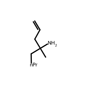 C=CCC(C)(N)CCCC